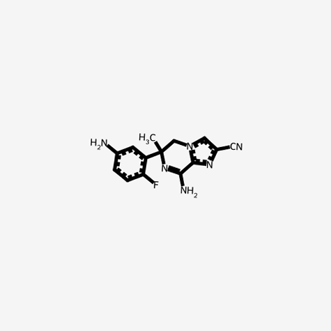 CC1(c2cc(N)ccc2F)Cn2cc(C#N)nc2C(N)=N1